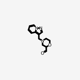 O=CC1CN(Cc2cnn3ccccc23)CCO1